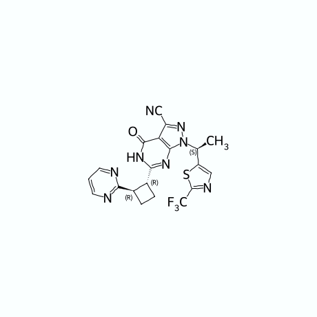 C[C@@H](c1cnc(C(F)(F)F)s1)n1nc(C#N)c2c(=O)[nH]c([C@@H]3CC[C@H]3c3ncccn3)nc21